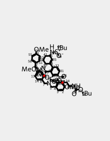 COc1ccc(CN(Cc2ccc(OC)cc2)S(=O)(=O)c2c(S(=O)(=O)NCCNC(=O)OC(C)(C)C)ccc(C3=CC(N[S@@+]([O-])C(C)(C)C)CCC3)c2-c2nnn(Cc3ccc(OC)cc3)n2)cc1